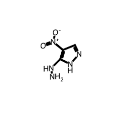 NNc1[nH]ncc1[N+](=O)[O-]